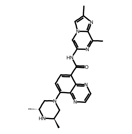 Cc1cn2cc(NC(=O)c3ccc(N4C[C@@H](C)N[C@H](C)C4)c4nccnc34)nc(C)c2n1